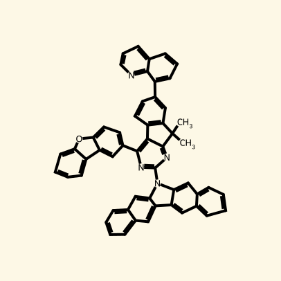 CC1(C)c2cc(-c3cccc4cccnc34)ccc2-c2c(-c3ccc4oc5ccccc5c4c3)nc(-n3c4cc5ccccc5cc4c4cc5ccccc5cc43)nc21